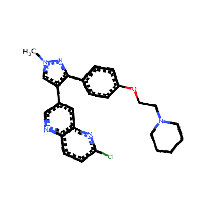 Cn1cc(-c2cnc3ccc(Cl)nc3c2)c(-c2ccc(OCCN3CCCCC3)cc2)n1